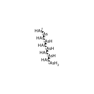 [AsH]=[As][AsH][AsH][AsH][AsH][AsH][AsH][AsH][AsH2]